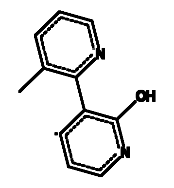 Cc1cccnc1-c1[c]ccnc1O